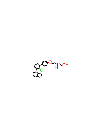 OCCNCCOc1ccc(-c2cccc(-c3cccc4c3CCC4)c2Cl)cc1